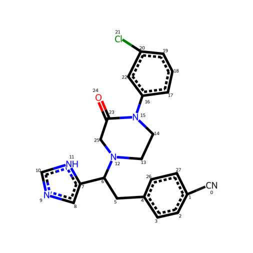 N#Cc1ccc(CC(c2cnc[nH]2)N2CCN(c3cccc(Cl)c3)C(=O)C2)cc1